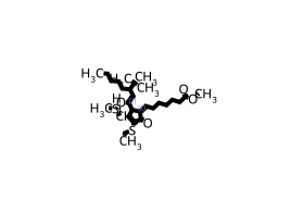 CCCCCC(/C=C(\O[SiH](C)C)C1C=C(SCC)C(=O)/C1=C\CCCCCC(=O)OC)C(C)(C)C